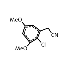 COc1cc(CC#N)c(Cl)c(OC)c1